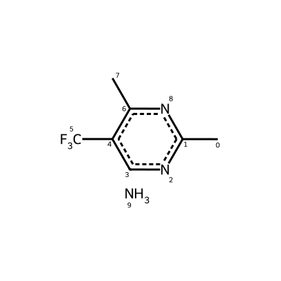 Cc1ncc(C(F)(F)F)c(C)n1.N